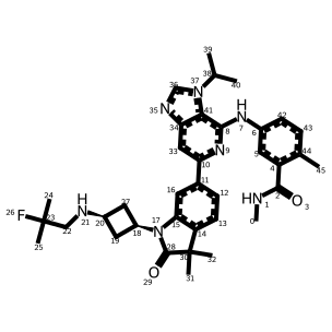 CNC(=O)c1cc(Nc2nc(-c3ccc4c(c3)N([C@H]3C[C@@H](NCC(C)(C)F)C3)C(=O)C4(C)C)cc3ncn(C(C)C)c23)ccc1C